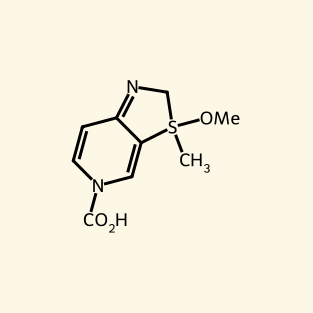 COS1(C)CN=C2C=CN(C(=O)O)C=C21